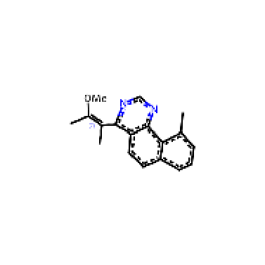 CO/C(C)=C(/C)c1ncnc2c1ccc1cccc(C)c12